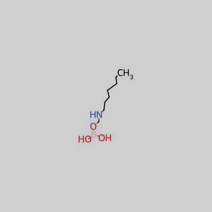 CCCCCCCNCOB(O)O